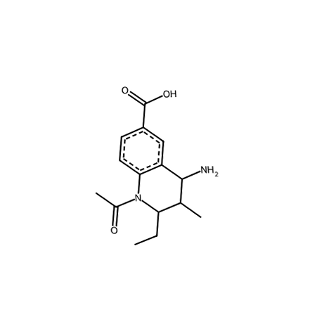 CCC1C(C)C(N)c2cc(C(=O)O)ccc2N1C(C)=O